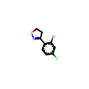 Clc1ccc(C2=NOCC2)c(Br)c1